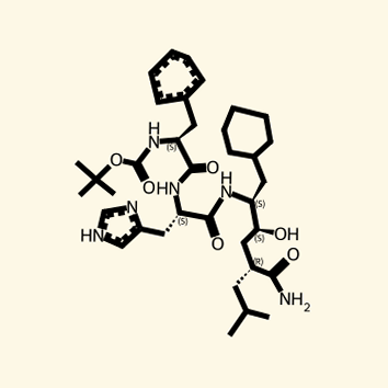 CC(C)C[C@H](C[C@H](O)[C@H](CC1CCCCC1)NC(=O)[C@H](Cc1c[nH]cn1)NC(=O)[C@H](Cc1ccccc1)NC(=O)OC(C)(C)C)C(N)=O